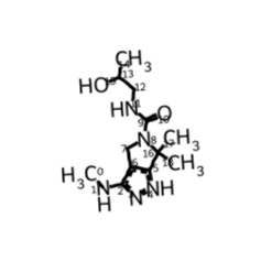 CNc1n[nH]c2c1CN(C(=O)NCC(C)O)C2(C)C